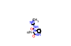 CCC[C@H]1C(=O)Nc2ccccc2N1C(=O)Nc1cnn(C)c1